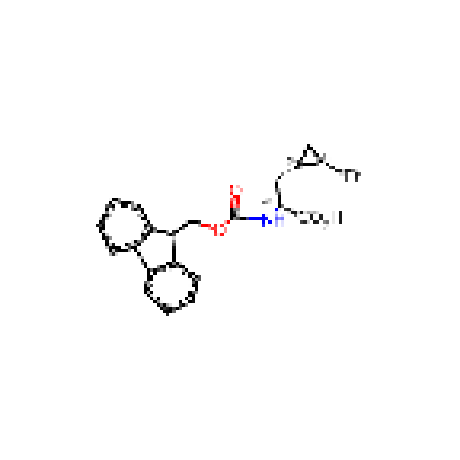 CC[C@@H]1C[C@H]1C[C@H](NC(=O)OCC1c2ccccc2-c2ccccc21)C(=O)O